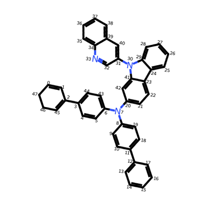 C1=CC(c2ccc(N(c3ccc(-c4ccccc4)cc3)c3ccc4c5ccccc5n(-c5cnc6ccccc6c5)c4c3)cc2)=CCC1